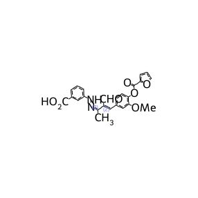 COc1cc(/C=C(C=O)/C(C)=N\Nc2cccc(C(=O)O)c2)ccc1OC(=O)c1ccco1